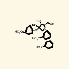 CO[C@]1(C#N)CO[C@H](CO)[C@@H]1O.O=C(O)c1ccccc1.O=C(O)c1ccccc1.O=C(O)c1ccccc1